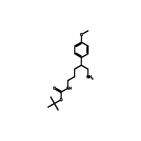 COc1ccc(C(CN)CCCNC(=O)OC(C)(C)C)cc1